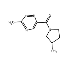 Cc1cnc(C(=O)N2CCC(C)C2)cn1